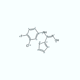 O/N=C(/Nc1ccc(F)c(Cl)c1)c1cccs1